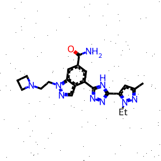 CCn1nc(C)cc1-c1nnc(-c2cc(C(N)=O)cc3c2cnn3CCN2CCC2)[nH]1